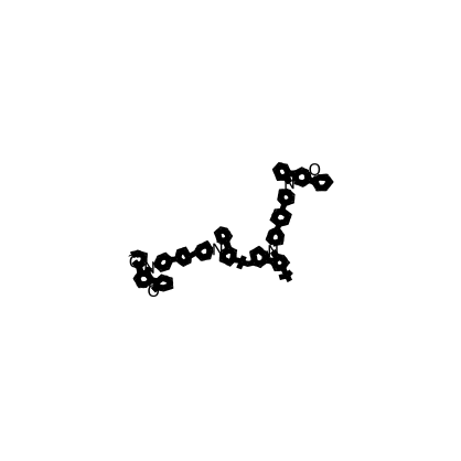 CC(C)(C)c1ccc2c(c1)c1cc(CC(C)(C)c3ccc4c(c3)c3ccccc3n4-c3ccc(-c4ccc(-c5ccc(-n6c7ccccc7c7ccc8oc9ccccc9c8c76)cc5)cc4)cc3)ccc1n2-c1ccc(-c2ccc(-c3ccc(-n4c5ccccc5c5cc6oc7ccccc7c6cc54)cc3)cc2)cc1